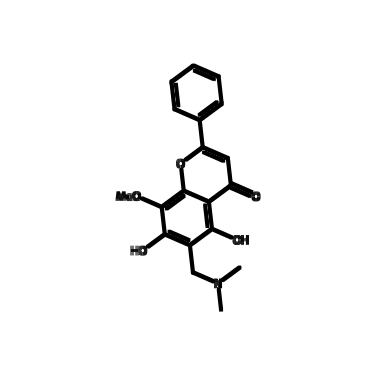 COc1c(O)c(CN(C)C)c(O)c2c(=O)cc(-c3ccccc3)oc12